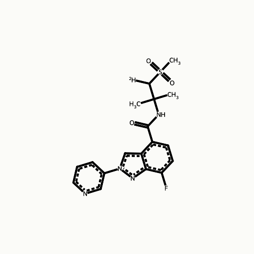 [2H]C(C(C)(C)NC(=O)c1ccc(F)c2nn(-c3cccnc3)cc12)S(C)(=O)=O